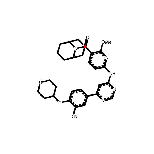 COc1nc(Nc2cc(-c3ccc(OC4CCOCC4)c(C#N)c3)ncn2)ccc1C(=O)N1C2CCCC1COC2